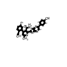 C#Cc1ccc(F)cc1-c1cc(C)nc(-c2nc3ncc(-c4ccc(C#N)cc4)nc3s2)c1C(N)=O